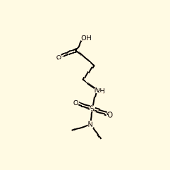 CN(C)S(=O)(=O)NCCC(=O)O